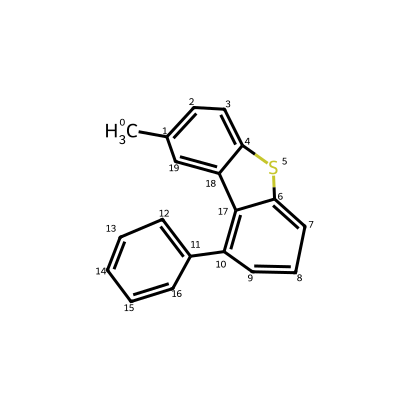 Cc1ccc2sc3cccc(-c4ccccc4)c3c2c1